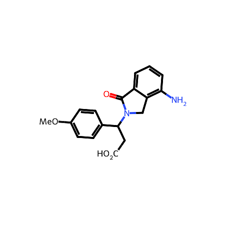 COc1ccc(C(CC(=O)O)N2Cc3c(N)cccc3C2=O)cc1